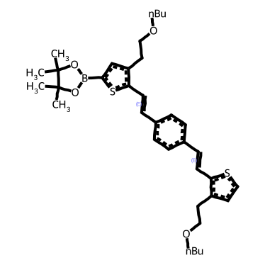 CCCCOCCc1ccsc1/C=C/c1ccc(/C=C/c2sc(B3OC(C)(C)C(C)(C)O3)cc2CCOCCCC)cc1